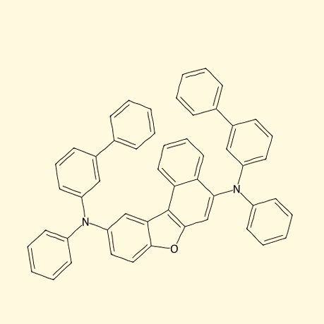 c1ccc(-c2cccc(N(c3ccccc3)c3ccc4oc5cc(N(c6ccccc6)c6cccc(-c7ccccc7)c6)c6ccccc6c5c4c3)c2)cc1